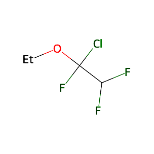 CCOC(F)(Cl)C(F)F